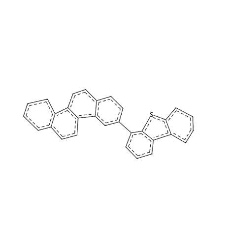 c1ccc2c(c1)ccc1c3cc(-c4cccc5c4sc4ccccc45)ccc3ccc21